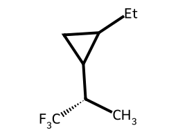 CCC1CC1[C@H](C)C(F)(F)F